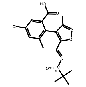 Cc1cc(Cl)cc(C(=O)O)c1-c1c(C)noc1C=N[S@@+]([O-])C(C)(C)C